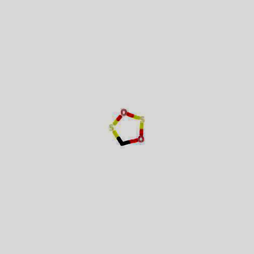 C1OSOS1